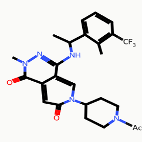 CC(=O)N1CCC(n2cc3c(NC(C)c4cccc(C(F)(F)F)c4C)nn(C)c(=O)c3cc2=O)CC1